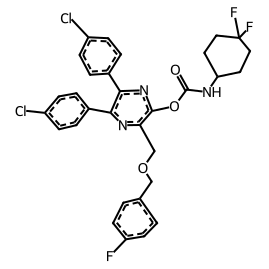 O=C(NC1CCC(F)(F)CC1)Oc1nc(-c2ccc(Cl)cc2)c(-c2ccc(Cl)cc2)nc1COCc1ccc(F)cc1